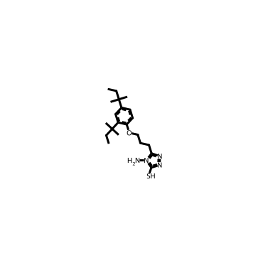 CCC(C)(C)c1ccc(OCCCc2nnc(S)n2N)c(C(C)(C)CC)c1